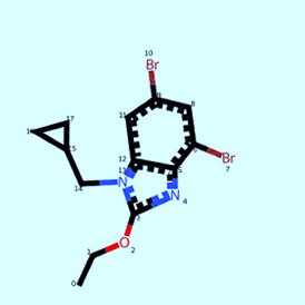 CCOc1nc2c(Br)cc(Br)cc2n1CC1CC1